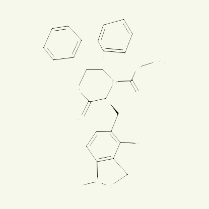 CC(C)(C)OC(=O)N1[C@@H](Cc2ccc3c(c2F)COB3O)C(=O)O[C@H](c2ccccc2)[C@@H]1c1ccccc1